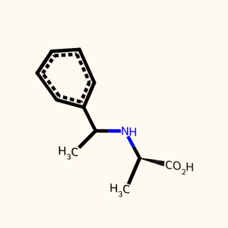 CC(N[C@H](C)C(=O)O)c1ccccc1